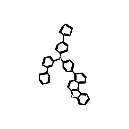 c1ccc(-c2ccc(N(c3ccc(-c4cccc5c4ccc4oc6ccccc6c45)cc3)c3cccc(-c4ccccc4)c3)cc2)cc1